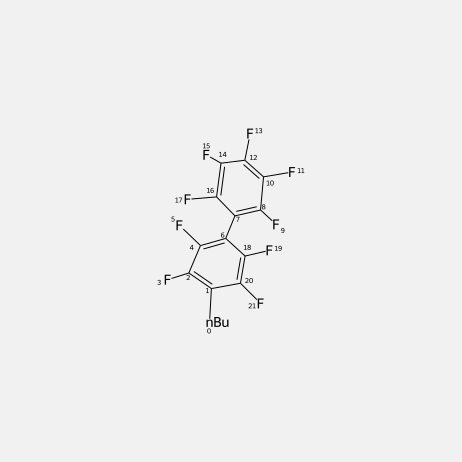 CCCCc1c(F)c(F)c(-c2c(F)c(F)c(F)c(F)c2F)c(F)c1F